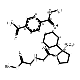 CC(C)(C)OC(=O)CNCC(=O)N1CCC[C@]1(C(=O)O)C1CCCCC1.N=C(NO)c1ccc(C(N)=O)cn1